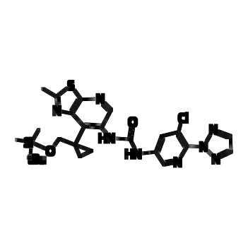 Cc1nc2c(C3(CO[Si](C)(C)C(C)(C)C)CC3)c(NC(=O)Nc3cnc(-n4nccn4)c(Cl)c3)cnc2s1